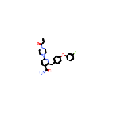 C=CC(=O)N1CCN(c2ccc(C(N)=O)c(Cc3ccc(Oc4cccc(F)c4)cc3)n2)CC1